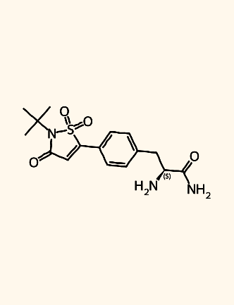 CC(C)(C)N1C(=O)C=C(c2ccc(C[C@H](N)C(N)=O)cc2)S1(=O)=O